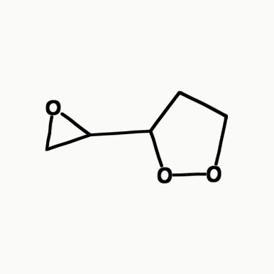 C1CC(C2CO2)OO1